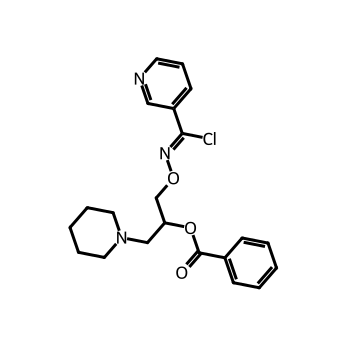 O=C(OC(CON=C(Cl)c1cccnc1)CN1CCCCC1)c1ccccc1